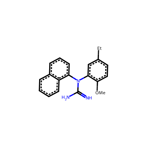 CCc1ccc(OC)c(N(C(=N)N)c2cccc3ccccc23)c1